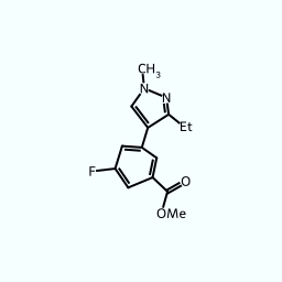 CCc1nn(C)cc1-c1cc(F)cc(C(=O)OC)c1